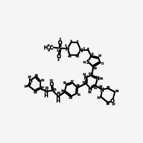 CS(=O)(=O)N1CCN(Cc2ccc(-c3nc(-c4ccc(NC(=O)Nc5ccncc5)cc4)nc(N4CCOCC4)n3)s2)CC1